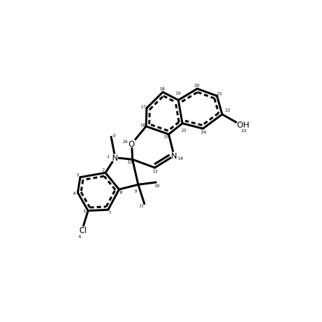 CN1c2ccc(Cl)cc2C(C)(C)C12C=Nc1c(ccc3ccc(O)cc13)O2